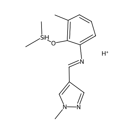 Cc1cccc(N=Cc2cnn(C)c2)c1O[SiH](C)C.[H+]